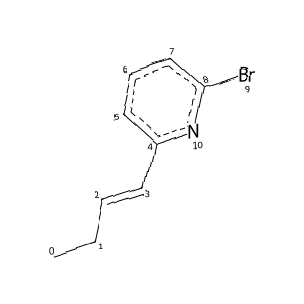 CC/C=C/c1cccc(Br)n1